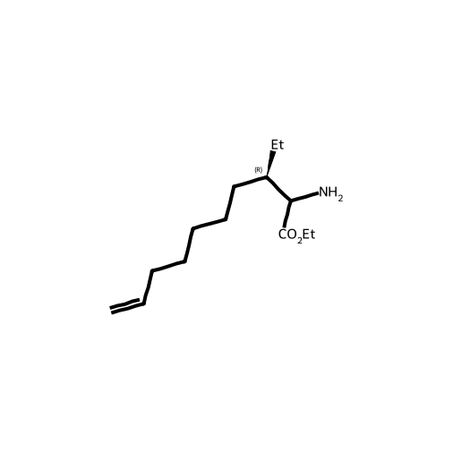 C=CCCCCC[C@@H](CC)C(N)C(=O)OCC